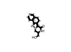 O=C1NC(CO)Cn2nc3c(c21)CCc1cnccc1-3